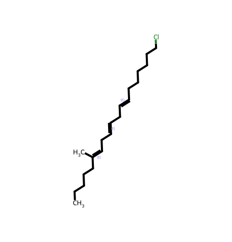 CCCCC/C(C)=C/C/C=C/C/C=C/CCCCCCCl